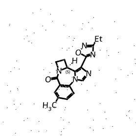 CCc1noc(-c2ncn3c2[C@@H]2CCN2C(=O)c2cc(C)ccc2-3)n1